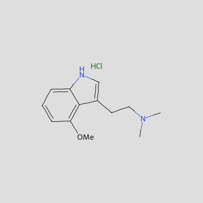 COc1cccc2[nH]cc(CCN(C)C)c12.Cl